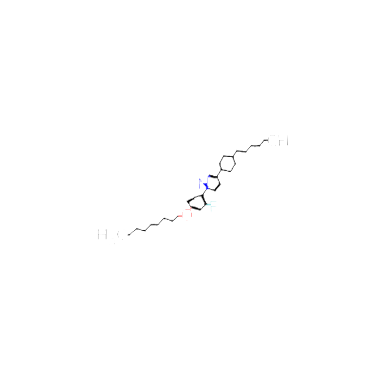 CCCCCCCCCOc1ccc(-c2ccc(C3CCC(CCCCCC)CC3)cn2)c(F)c1